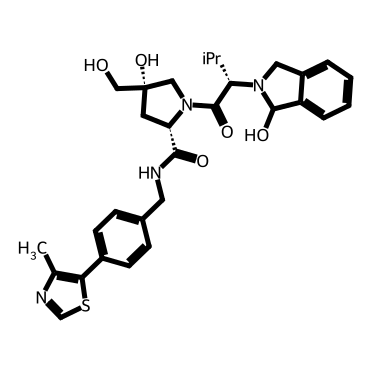 Cc1ncsc1-c1ccc(CNC(=O)[C@@H]2C[C@@](O)(CO)CN2C(=O)[C@H](C(C)C)N2Cc3ccccc3C2O)cc1